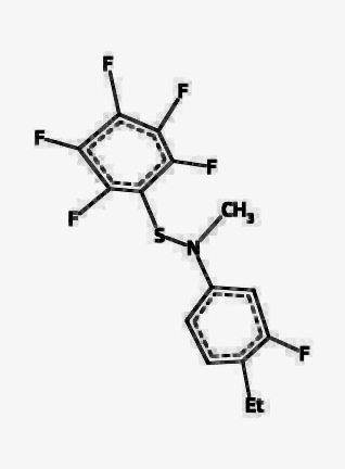 CCc1ccc(N(C)Sc2c(F)c(F)c(F)c(F)c2F)cc1F